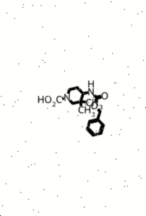 CC1(C)CN(C(=O)O)CCC1NC(=O)OCc1ccccc1